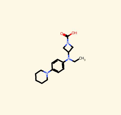 CCN(c1ccc(N2CCCCC2)cc1)C1CN(C(=O)O)C1